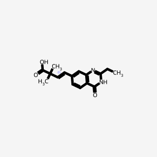 CCc1nc2cc(/C=C/C(C)(C)C(=O)O)ccc2c(=O)[nH]1